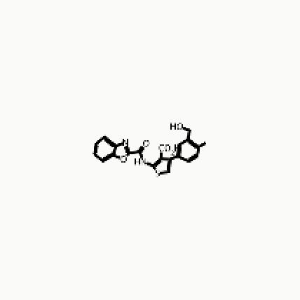 Cc1ccc(-c2csc(NC(=O)c3nc4ccccc4o3)c2C(=O)O)cc1CO